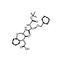 CC(C)(C)OC(=O)N[C@@H](COCc1ccccc1)C(=O)N[C@@H]1CSc2ccccc2N(CC(=O)O)C1=O